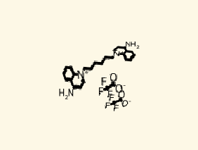 Nc1cc[n+](CCCCCC[n+]2ccc(N)c3ccccc32)c2ccccc12.O=C([O-])C(F)(F)F.O=C([O-])C(F)(F)F